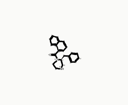 O=C(c1cccc2ccccc12)N1CCNC[C@@H]1Cc1ccccc1